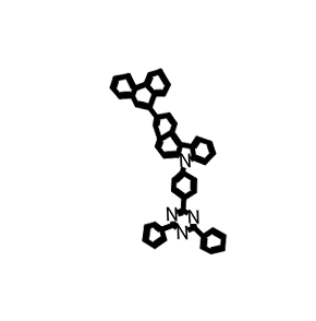 c1ccc(-c2nc(-c3ccccc3)nc(-c3ccc(-n4c5ccccc5c5c6ccc(-c7cc8ccccc8c8ccccc78)cc6ccc54)cc3)n2)cc1